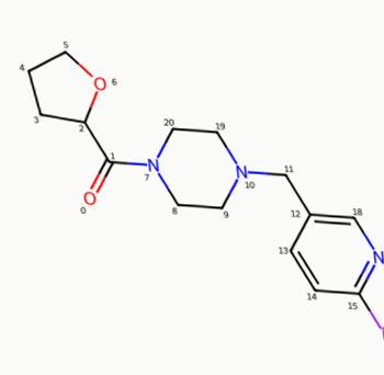 O=C(C1CCCO1)N1CCN(Cc2ccc(I)nc2)CC1